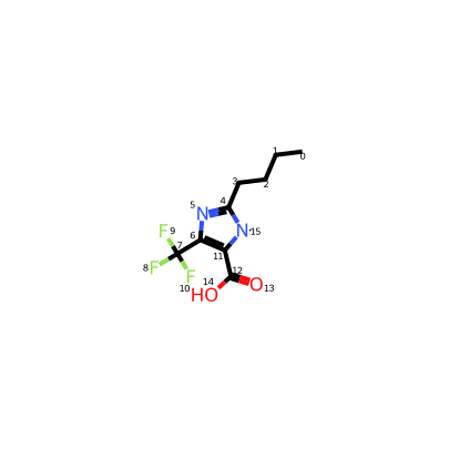 CCCCC1=NC(C(F)(F)F)=C(C(=O)O)[N]1